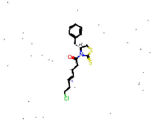 O=C(C[CH]/C=C/CCCl)N1C(=S)SC[C@H]1Cc1ccccc1